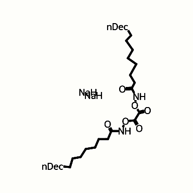 CCCCCCCCCCCCCCCCCC(=O)NOC(=O)C(=O)ONC(=O)CCCCCCCCCCCCCCCCC.[NaH].[NaH]